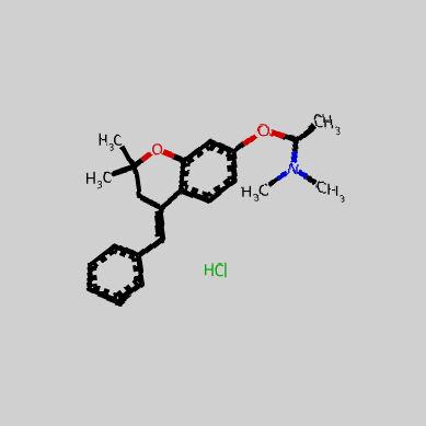 CC(Oc1ccc2c(c1)OC(C)(C)C/C2=C\c1ccccc1)N(C)C.Cl